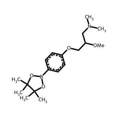 COC(COc1ccc(B2OC(C)(C)C(C)(C)O2)cc1)CN(C)C